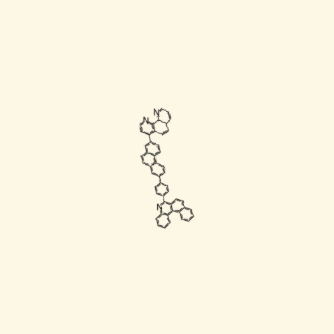 C1=CC2C=Cc3c(-c4ccc5c(ccc6cc(-c7ccc(-c8nc9ccccc9c9c8ccc8ccccc89)cc7)ccc65)c4)ccnc3C2N=C1